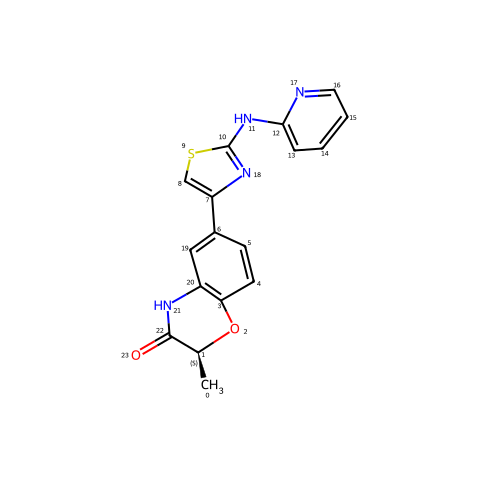 C[C@@H]1Oc2ccc(-c3csc(Nc4ccccn4)n3)cc2NC1=O